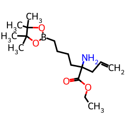 C=CCC(N)(CCCCB1OC(C)(C)C(C)(C)O1)C(=O)OCC